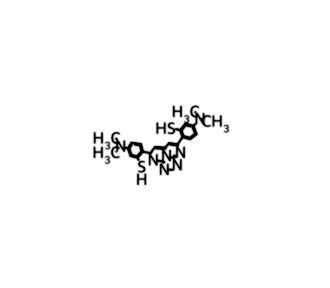 CN(C)c1ccc(C2=CC3=CC(c4ccc(N(C)C)cc4S)=NC4=NC=NC(=N2)N34)c(S)c1